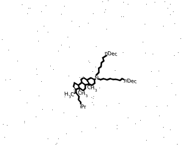 CCCCCCCCCCCCCCCCCCN(CCCCCCCCCCCCCCCCCC)C1CC[C@@]2(C)C(CCC3C2CC[C@@]2(C)C3CC[C@@H]2[C@H](C)CCCC(C)C)C1